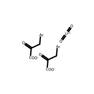 CC(=O)CC(=O)C(=O)[O-].CC(=O)CC(=O)C(=O)[O-].[O]=[U+2]=[O]